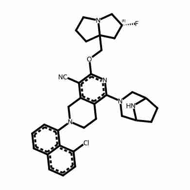 N#Cc1c(OCC23CCCN2C[C@H](F)C3)nc(N2CC3CCC(C2)N3)c2c1CN(c1cccc3cccc(Cl)c13)CC2